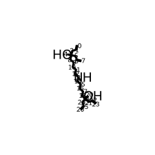 C=CCC(O)(CC=C)CCCCCNCCCCCC(O)(CC=C)CC=C